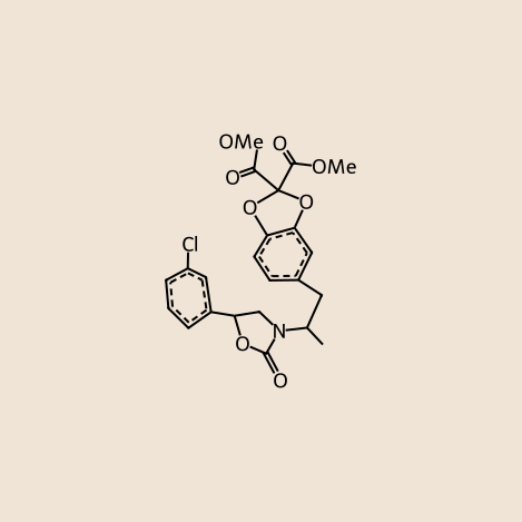 COC(=O)C1(C(=O)OC)Oc2ccc(CC(C)N3CC(c4cccc(Cl)c4)OC3=O)cc2O1